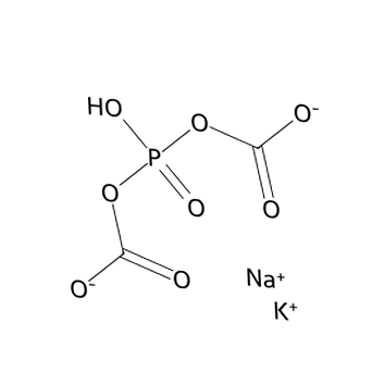 O=C([O-])OP(=O)(O)OC(=O)[O-].[K+].[Na+]